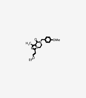 CCO/C=C/c1nc(C)c2n1CCN(Cc1ccc(OC)cc1)C2=O